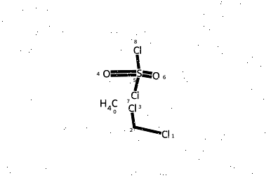 C.ClCCl.O=S(=O)(Cl)Cl